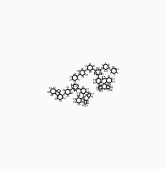 c1ccc(-c2cccc(-c3nc(-c4cccc(-c5ccc(-c6cccc(-c7nc(-c8ccc(-c9cccc%10c9oc9ccccc9%10)cc8)nc(-c8cccc9c8Oc8ccccc8C98c9ccccc9-c9ccccc98)n7)c6)cc5)c4)nc(-c4cccc5c4Oc4ccccc4C54c5ccccc5-c5ccccc54)n3)c2)cc1